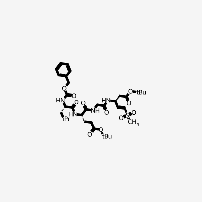 CC(C)C[C@H](NC(=O)OCc1ccccc1)C(=O)N[C@@H](CCC(=O)OC(C)(C)C)C(=O)NCC(=O)N[C@H](/C=C/S(C)(=O)=O)CC(=O)OC(C)(C)C